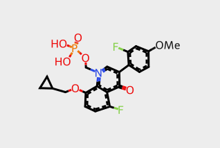 COc1ccc(-c2cn(COP(=O)(O)O)c3c(OCC4CC4)ccc(F)c3c2=O)c(F)c1